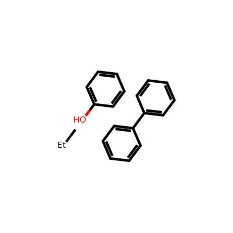 CCC.Oc1ccccc1.c1ccc(-c2ccccc2)cc1